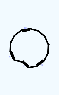 [CH]1C\C=C/C=C/C=C\CC/C=C\CC1